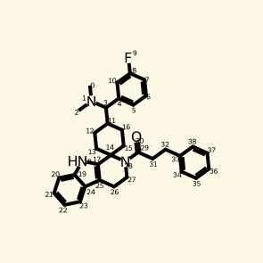 CN(C)C(c1cccc(F)c1)C1CCC2(CC1)c1[nH]c3ccccc3c1CCN2C(=O)CCc1ccccc1